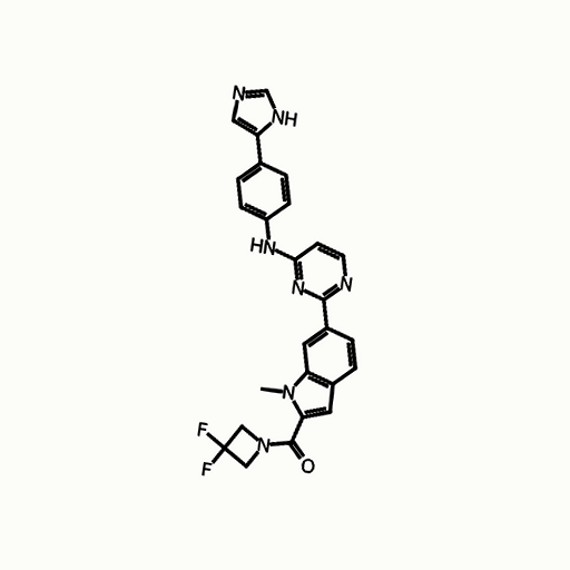 Cn1c(C(=O)N2CC(F)(F)C2)cc2ccc(-c3nccc(Nc4ccc(-c5cnc[nH]5)cc4)n3)cc21